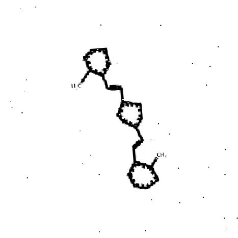 Cc1ccccc1C=Cc1ccc(C=Cc2ccccc2C)cc1